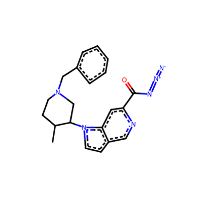 CC1CCN(Cc2ccccc2)CC1n1ccc2cnc(C(=O)N=[N+]=[N-])cc21